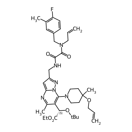 C=CCOC1(C)CCN(c2c([C@H](OC(C)(C)C)C(=O)OCC)c(C)nc3cc(CNC(=O)C(=O)N(CC=C)Cc4ccc(F)c(C)c4)nn23)CC1